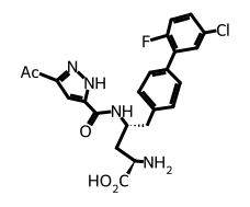 CC(=O)c1cc(C(=O)N[C@H](Cc2ccc(-c3cc(Cl)ccc3F)cc2)C[C@@H](N)C(=O)O)[nH]n1